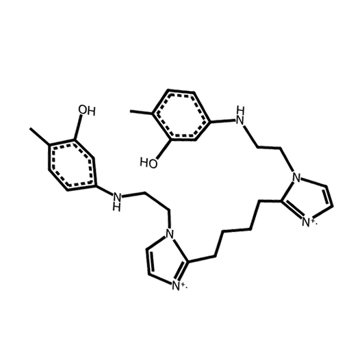 Cc1ccc(NCCN2C=C[N+]=C2CCCCC2=[N+]C=CN2CCNc2ccc(C)c(O)c2)cc1O